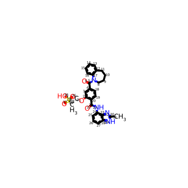 COc1cc(C(=O)N2CCCCc3ccccc32)ccc1C(=O)Nc1cccc2[nH]c(C)nc12.CS(=O)(=O)O